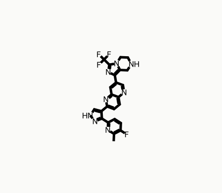 Cc1nc(-c2n[nH]cc2-c2ccc3ncc(-c4nc(C(F)(F)F)n5c4CNCC5)cc3n2)ccc1F